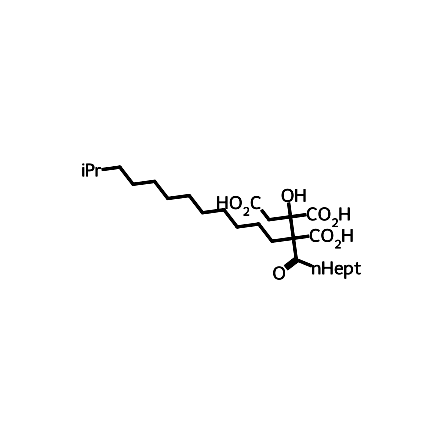 CCCCCCCC(=O)C(CCCCCCCCCCC(C)C)(C(=O)O)C(O)(CC(=O)O)C(=O)O